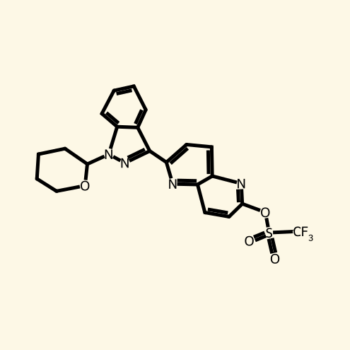 O=S(=O)(Oc1ccc2nc(-c3nn(C4CCCCO4)c4ccccc34)ccc2n1)C(F)(F)F